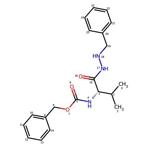 CC(C)[C@H](NC(=O)OCc1ccccc1)C(=O)NNCc1ccccc1